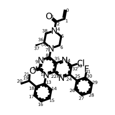 C=CC(=O)N1CCN(c2nc(=O)n(-c3ccccc3C(C)C)c3nc(-c4ccccc4F)c(Cl)nc23)[C@@H](C)C1